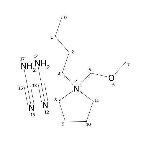 CCCC[N+]1(COC)CCCC1.N#CN.N#CN